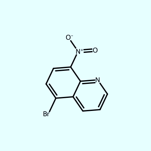 O=[N+]([O-])c1ccc(Br)c2cccnc12